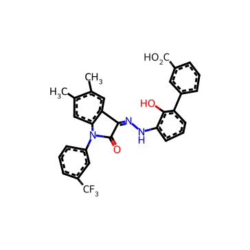 Cc1cc2c(cc1C)N(c1cccc(C(F)(F)F)c1)C(=O)C2=NNc1cccc(-c2cccc(C(=O)O)c2)c1O